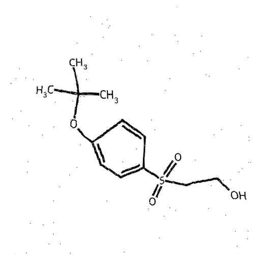 CC(C)(C)Oc1ccc(S(=O)(=O)CCO)cc1